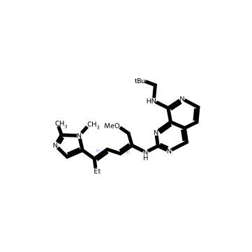 CC/C(=C\C=C(/COC)Nc1ncc2ccnc(NCC(C)(C)C)c2n1)c1cnc(C)n1C